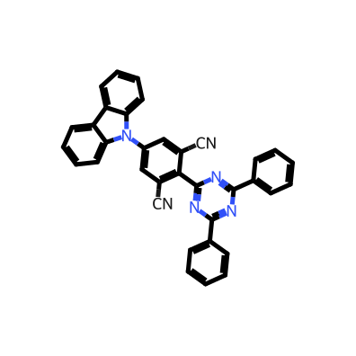 N#Cc1cc(-n2c3ccccc3c3ccccc32)cc(C#N)c1-c1nc(-c2ccccc2)nc(-c2ccccc2)n1